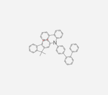 CC1(C)c2ccccc2-c2ccc(N(c3ccc(-c4ccccc4-c4ccccc4)cc3)c3ccccc3-c3ccccc3)cc21